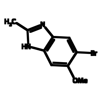 COc1cc2[nH]c(C)nc2cc1Br